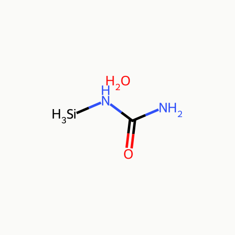 NC(=O)N[SiH3].O